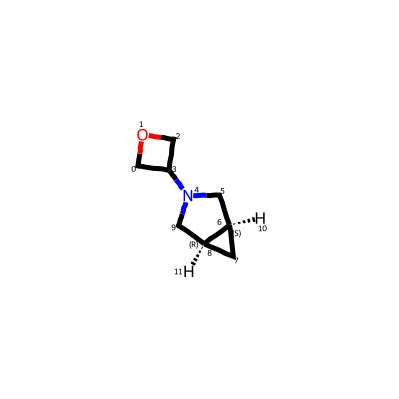 C1OCC1N1C[C@H]2C[C@H]2C1